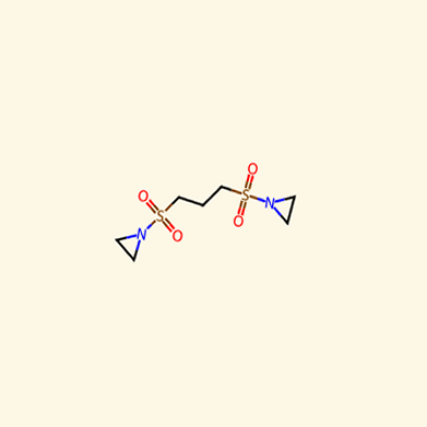 O=S(=O)(CCCS(=O)(=O)N1CC1)N1CC1